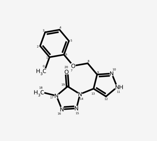 Cc1ccccc1OCc1n[nH]cc1-n1nnn(C)c1=O